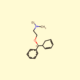 CCN(C)CCO[C@H](c1ccccc1)C1C=CC=CC1